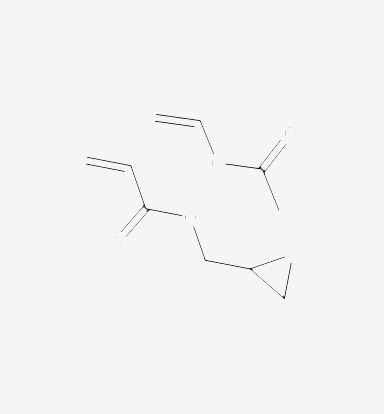 C=CC(=O)OCC1CO1.C=COC(C)=O